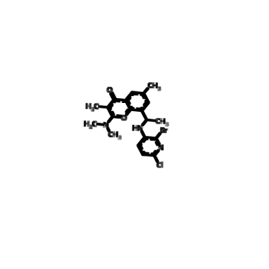 Cc1cc(C(C)Nc2ccc(Cl)nc2Br)c2oc(N(C)C)c(C)c(=O)c2c1